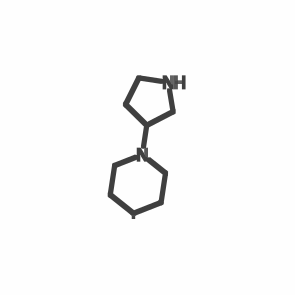 [CH]1CCN(C2CCNC2)CC1